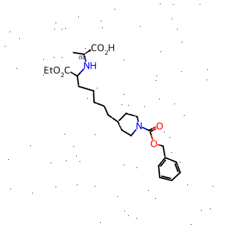 CCOC(=O)C(CCCCCC1CCN(C(=O)OCc2ccccc2)CC1)N[C@@H](C)C(=O)O